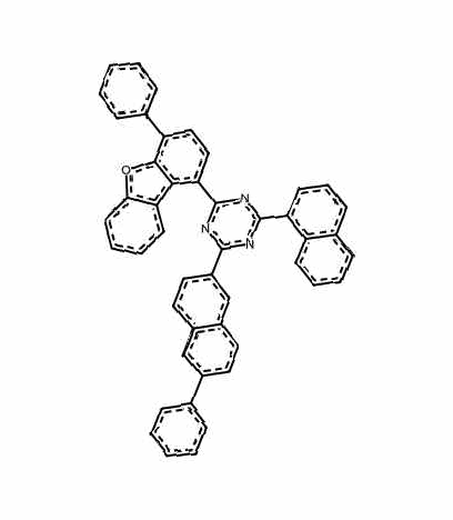 c1ccc(-c2ccc3cc(-c4nc(-c5cccc6ccccc56)nc(-c5ccc(-c6ccccc6)c6oc7ccccc7c56)n4)ccc3c2)cc1